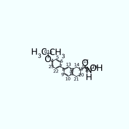 CC(C)Oc1ccc(-c2ccc3c(c2)CC(C(=O)NO)CC3)cc1